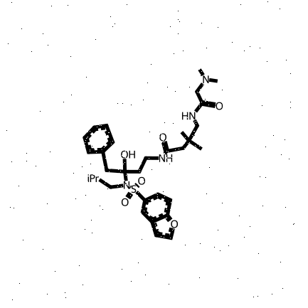 CC(C)CN(C(O)(CCNC(=O)CC(C)(C)CNC(=O)CN(C)C)Cc1ccccc1)S(=O)(=O)c1ccc2occc2c1